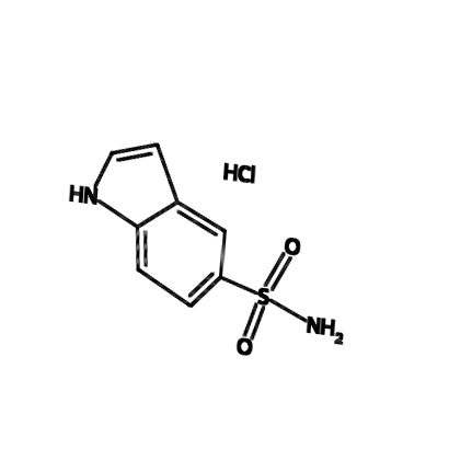 Cl.NS(=O)(=O)c1ccc2[nH]ccc2c1